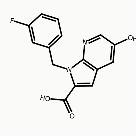 O=C(O)c1cc2cc(O)cnc2n1Cc1cccc(F)c1